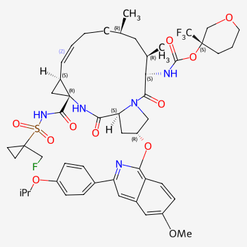 COc1ccc2c(O[C@@H]3C[C@H]4C(=O)N[C@]5(C(=O)NS(=O)(=O)C6(CF)CC6)C[C@H]5/C=C\CC[C@@H](C)C[C@@H](C)[C@H](NC(=O)O[C@@]5(C(F)(F)F)CCCOC5)C(=O)N4C3)nc(-c3ccc(OC(C)C)cc3)cc2c1